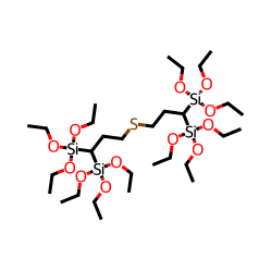 CCO[Si](OCC)(OCC)C(CCSCCC([Si](OCC)(OCC)OCC)[Si](OCC)(OCC)OCC)[Si](OCC)(OCC)OCC